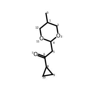 CC1COC(CC(=O)C2CC2)OC1